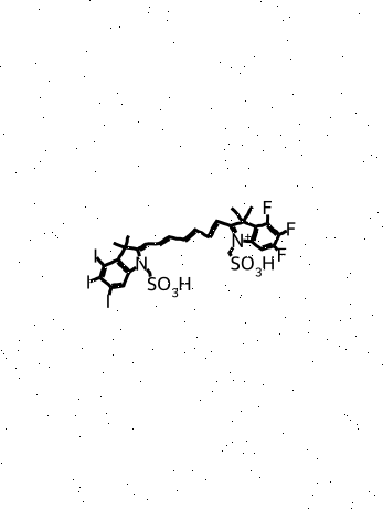 CC1(C)C(/C=C/C=C/C=C/C=C2\N(CS(=O)(=O)O)c3cc(I)c(I)c(I)c3C2(C)C)=[N+](CS(=O)(=O)O)c2cc(F)c(F)c(F)c21